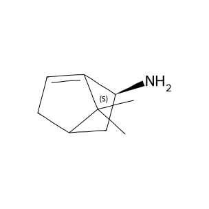 CC1(C)C2=CCC1C[C@@H]2N